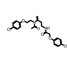 C=C(CCNC(=O)COc1ccc(Cl)cc1)N(CCOc1ccc(Cl)cc1)C(C)=O